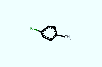 Cc1c[c]c(Br)cc1